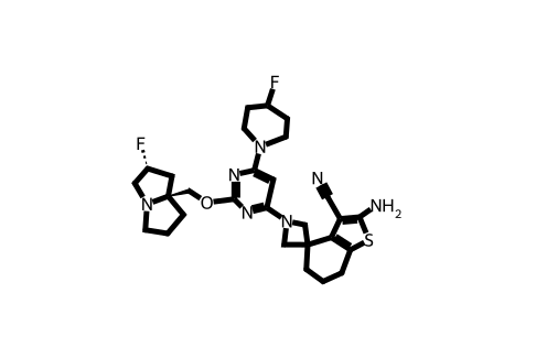 N#Cc1c(N)sc2c1C1(CCC2)CN(c2cc(N3CCC(F)CC3)nc(OC[C@@]34CCCN3C[C@H](F)C4)n2)C1